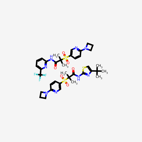 CC(C)(C(=O)Nc1cccc(C(F)(F)F)n1)S(=O)(=O)c1ccc(N2CCC2)nc1.CC(C)(C)c1csc(NC(=O)C(C)(C)S(=O)(=O)c2ccc(N3CCC3)nc2)n1